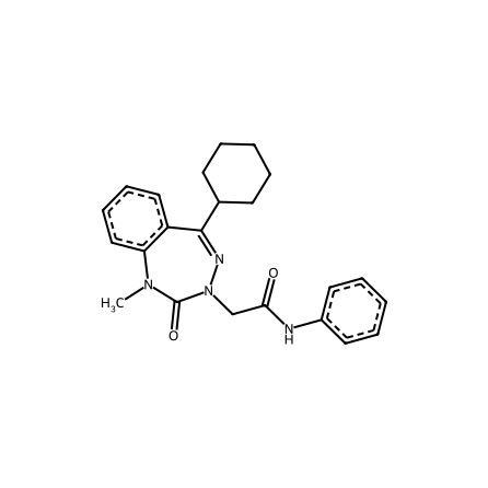 CN1C(=O)N(CC(=O)Nc2ccccc2)N=C(C2CCCCC2)c2ccccc21